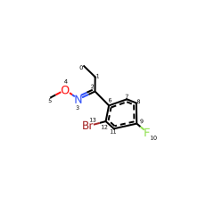 CCC(=NOC)c1ccc(F)cc1Br